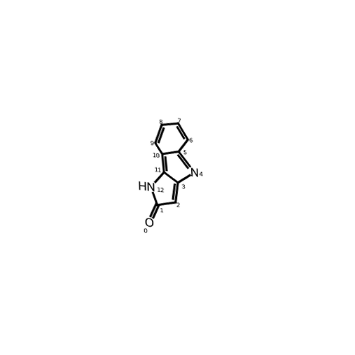 O=C1C=C2N=c3ccccc3=C2N1